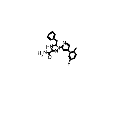 Cc1ccc(F)cc1-c1ccnc(N2N=C(C(N)=O)NC2Cc2ccccc2)c1